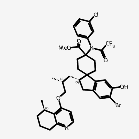 COC(=O)C1(N(C(=O)C(F)(F)F)c2cccc(Cl)c2)CCC2(CC1)c1cc(O)c(Br)cc1C[C@@H]2C[C@@H](C)COc1ccnc2c1[C@H](C)CCC2